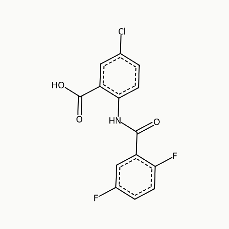 O=C(Nc1ccc(Cl)cc1C(=O)O)c1cc(F)ccc1F